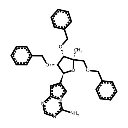 C[C@]1(COCc2ccccc2)O[C@@H](c2cc3ncnc(N)n3c2)[C@H](OCc2ccccc2)[C@@H]1OCc1ccccc1